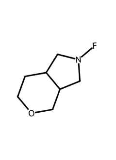 FN1CC2CCOCC2C1